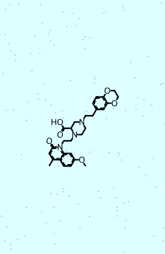 COc1ccc2c(C)cc(=O)n(CCN3CCN(CCc4ccc5c(c4)OCCO5)CC3C(=O)O)c2c1